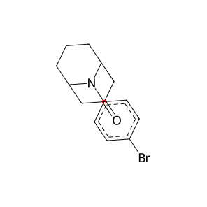 O=C1CC2CCCC(C1)N2c1ccc(Br)cc1